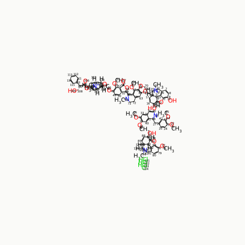 CN1CC[C@]23c4c5ccc(O)c4O[C@H]2[C@@H](O)C=C[C@H]3[C@H]1C5.COc1ccc(Cc2nccc3cc(OC)c(OC)cc23)cc1OC.COc1ccc2c(c1OC)C(=O)O[C@@H]2[C@H]1c2c(cc3c(c2OC)OCO3)CCN1C.COc1ccc2c3c1O[C@H]1[C@@H](O)C=C[C@H]4[C@@H](C2)N(C)CC[C@@]341.C[N+]1(C)[C@@H]2CC(OC(=O)[C@H](CO)c3ccccc3)C[C@H]1[C@@H]1O[C@@H]12.Cl.Cl.Cl.[Cl-]